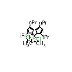 CCCC1=C[CH]([Ti]([Cl])([Cl])([CH]2C=C(CCC)C=C2C(C)C)[SiH](C)C)C(C(C)C)=C1